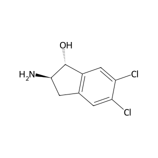 N[C@@H]1Cc2cc(Cl)c(Cl)cc2[C@H]1O